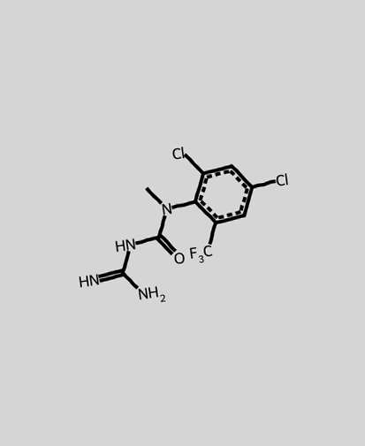 CN(C(=O)NC(=N)N)c1c(Cl)cc(Cl)cc1C(F)(F)F